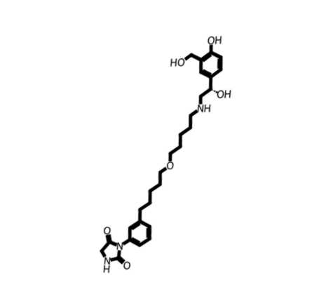 O=C1CNC(=O)N1c1cccc(CCCCCOCCCCCNC[C@@H](O)c2ccc(O)c(CO)c2)c1